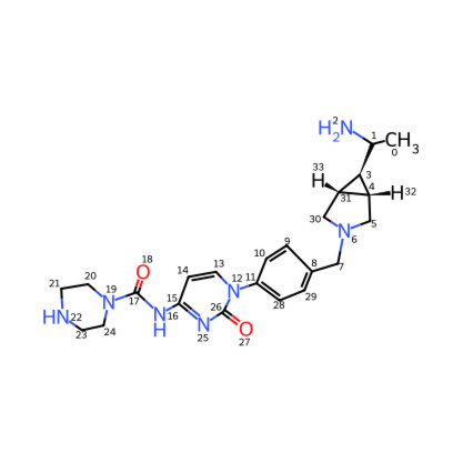 CC(N)[C@H]1[C@@H]2CN(Cc3ccc(-n4ccc(NC(=O)N5CCNCC5)nc4=O)cc3)C[C@@H]21